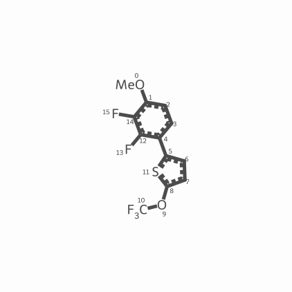 COc1ccc(-c2ccc(OC(F)(F)F)s2)c(F)c1F